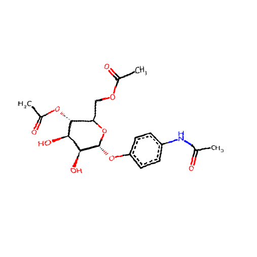 CC(=O)Nc1ccc(O[C@H]2OC(COC(C)=O)[C@@H](OC(C)=O)[C@H](O)[C@@H]2O)cc1